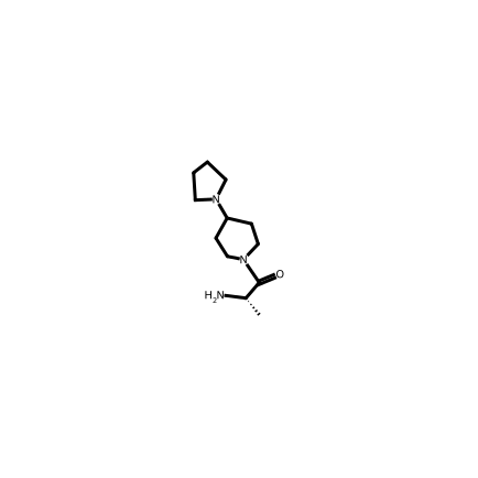 C[C@H](N)C(=O)N1CCC(N2CCCC2)CC1